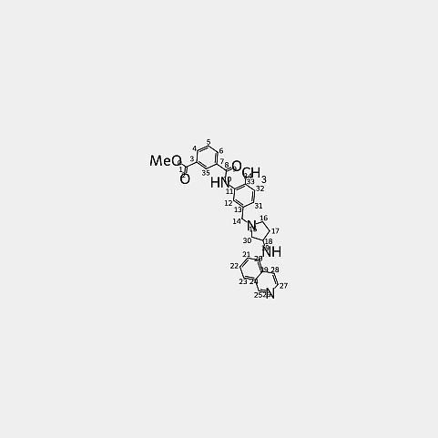 COC(=O)c1cccc(C(=O)Nc2cc(CN3CCC(Nc4cccc5cnccc45)C3)ccc2C)c1